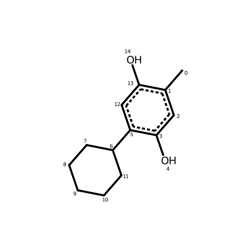 Cc1cc(O)c(C2CCCCC2)cc1O